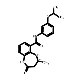 CC(C)Oc1cccc(NC(=O)c2cccc3c2N[C@@H](C)CC(=O)N3)c1